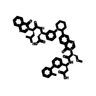 COC[C@H](C(=O)N[C@@H](CC(=O)O)c1cccc(-c2ccccc2C)c1)n1cnc2cc(C3CCCCN3c3cccc([C@H](CC(=O)O)NC(=O)[C@H](CC(C)C)n4cnc5ccccc5c4=O)c3)ccc2c1=O